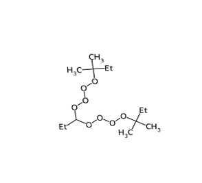 CCC(OOOOC(C)(C)CC)OOOOC(C)(C)CC